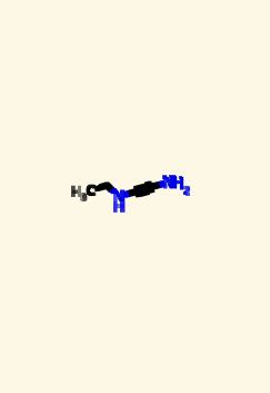 CCNC#CN